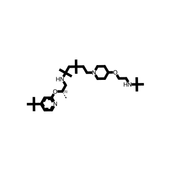 C[C@@H](CNC(C)(C)CC(C)(C)CCN1CCC(OCCNC(C)(C)C)CC1)Oc1cc(C(C)(C)C)ccn1